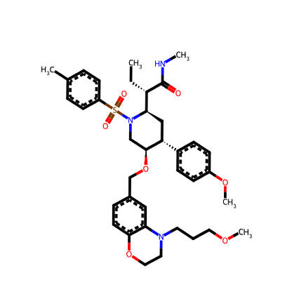 CC[C@H](C(=O)NC)[C@H]1C[C@H](c2ccc(OC)cc2)[C@@H](OCc2ccc3c(c2)N(CCCOC)CCO3)CN1S(=O)(=O)c1ccc(C)cc1